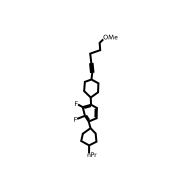 CCCC1CCC(c2ccc(C3CCC(C#CCCCOC)CC3)c(F)c2F)CC1